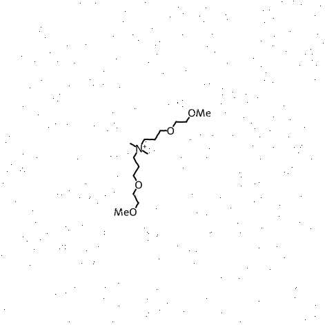 COCCOCCC[N+](C)(C)CCCOCCOC